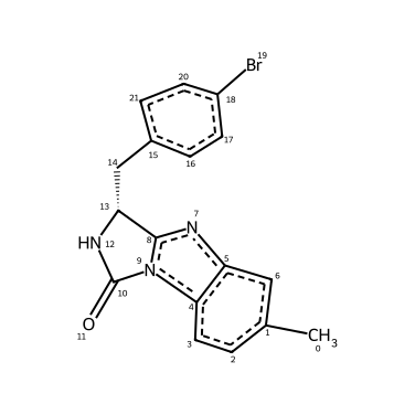 Cc1ccc2c(c1)nc1n2C(=O)N[C@@H]1Cc1ccc(Br)cc1